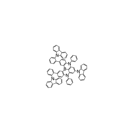 c1ccc(N2c3ccc(-c4ccccc4-n4c5ccccc5c5ccccc54)cc3B3c4cc(-c5ccccc5-n5c6ccccc6c6ccccc65)ccc4N(c4ccccc4)c4cc(-n5c6ccccc6c6ccccc65)cc2c43)cc1